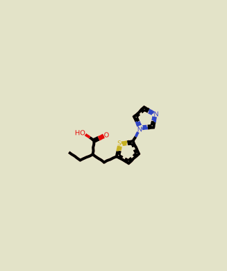 CCC(Cc1ccc(-n2ccnc2)s1)C(=O)O